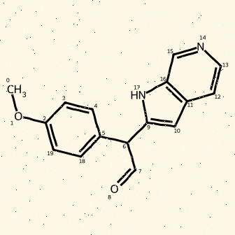 COc1ccc(C(C=O)c2cc3ccncc3[nH]2)cc1